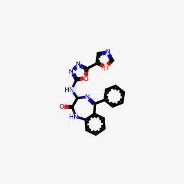 O=C1Nc2ccccc2C(c2ccccc2)=NC1Nc1nnc(-c2cnco2)o1